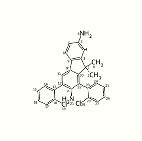 CC1(C)c2cc(N)ccc2-c2cc(-c3ccccc3Cl)c(N)c(-c3ccccc3Cl)c21